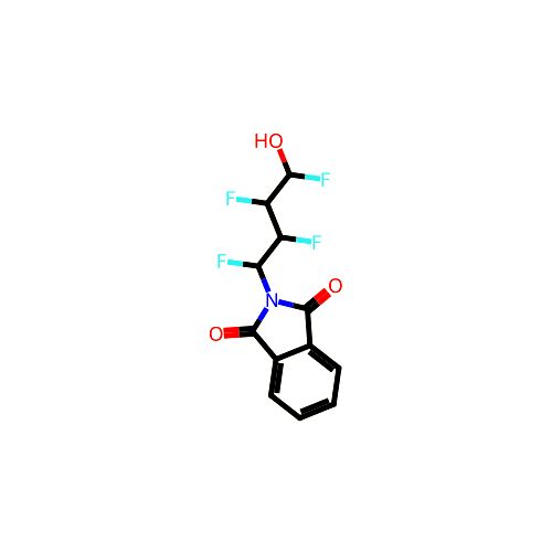 O=C1c2ccccc2C(=O)N1C(F)C(F)C(F)C(O)F